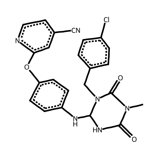 CN1C(=O)NC(Nc2ccc(Oc3cc(C#N)ccn3)cc2)N(Cc2ccc(Cl)cc2)C1=O